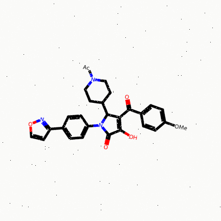 COc1ccc(C(=O)C2=C(O)C(=O)N(c3ccc(-c4ccon4)cc3)C2C2CCN(C(C)=O)CC2)cc1